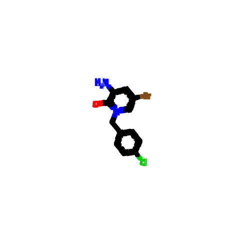 Nc1cc(Br)cn(Cc2ccc(Cl)cc2)c1=O